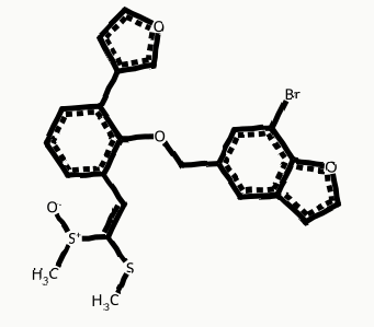 CSC(=Cc1cccc(-c2ccoc2)c1OCc1cc(Br)c2occc2c1)[S+](C)[O-]